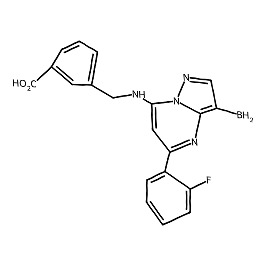 Bc1cnn2c(NCc3cccc(C(=O)O)c3)cc(-c3ccccc3F)nc12